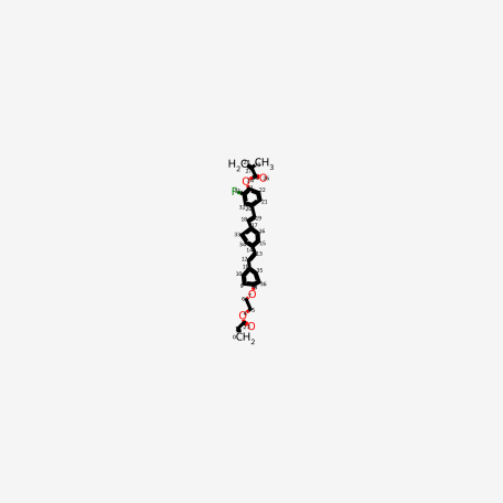 C=CC(=O)OCCOc1ccc(/C=C/c2ccc(/C=C/c3ccc(OC(=O)C(=C)C)c(F)c3)cc2)cc1